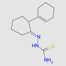 NC(=S)NN=C1CCCCC1C1=CCCCC1